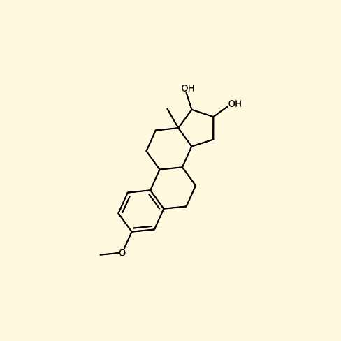 COc1ccc2c(c1)CCC1C2CCC2(C)C(O)C(O)CC12